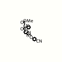 COC(=O)CCN(C(=O)c1ccc2c(n1)nc(COc1ccc(C#N)cc1)n2C)c1ccccn1